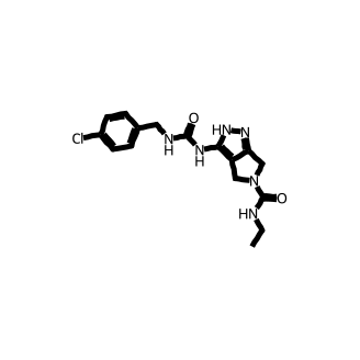 CCNC(=O)N1Cc2n[nH]c(NC(=O)NCc3ccc(Cl)cc3)c2C1